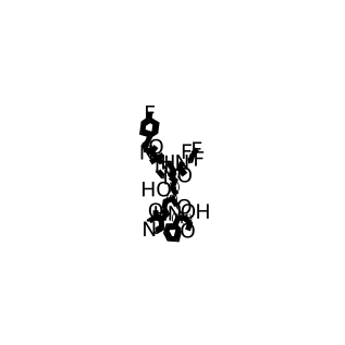 CC(C)(c1ncc(-c2ccc(F)cc2)o1)N1CCN(C[C@@H](O)C[C@@H](Cc2cc3ccncc3o2)C(=O)N[C@H]2c3ccccc3OC[C@H]2O)[C@H](C(=O)NCC(F)(F)F)C1